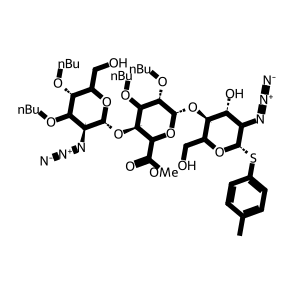 CCCCOC1[C@H](OCCCC)C(CO)O[C@H](O[C@@H]2C(C(=O)OC)O[C@@H](O[C@@H]3C(CO)O[C@@H](Sc4ccc(C)cc4)C(N=[N+]=[N-])[C@H]3O)[C@@H](OCCCC)C2OCCCC)[C@H]1N=[N+]=[N-]